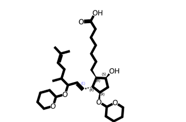 CC(C)=CCC(C)C(/C=C/[C@@H]1[C@@H](CCCCCCC(=O)O)[C@@H](O)C[C@H]1OC1CCCCO1)OC1CCCCO1